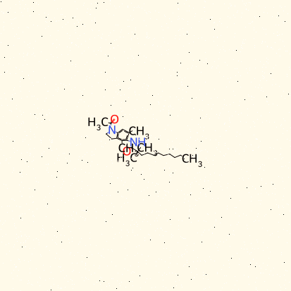 CCCCCCCCCC(C)(C)C(=O)Nc1c(C)cc2c(c1C)CCN2C(C)=O